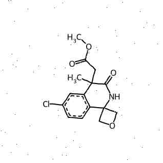 COC(=O)CC1(C)C(=O)NC2(COC2)c2ccc(Cl)cc21